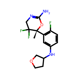 C[C@]1(c2cc(NC3CCOC3)ccc2F)OC(N)=NCC1(F)F